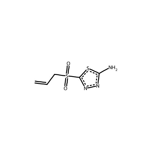 C=CCS(=O)(=O)c1nnc(N)s1